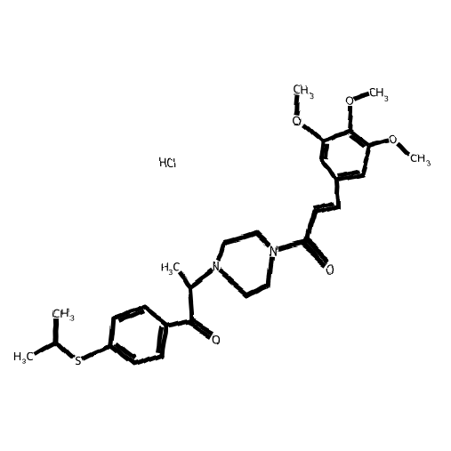 COc1cc(C=CC(=O)N2CCN(C(C)C(=O)c3ccc(SC(C)C)cc3)CC2)cc(OC)c1OC.Cl